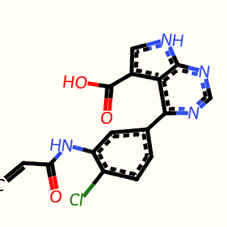 C=CC(=O)Nc1cc(-c2ncnc3[nH]cc(C(=O)O)c23)ccc1Cl